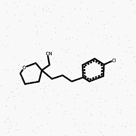 N#CCC1(CCCc2ccc(Cl)cc2)CCCOC1